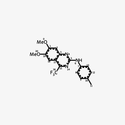 COc1cc2nc(Nc3ccc(C)cc3)nc(C(F)(F)F)c2cc1OC